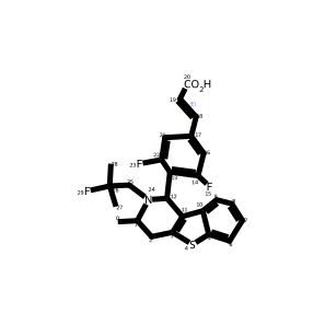 CC1Cc2sc3ccccc3c2C(c2c(F)cc(/C=C/C(=O)O)cc2F)N1CC(C)(C)F